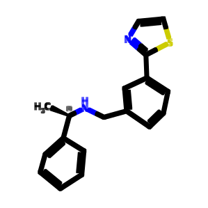 C[C@@H](NCc1cccc(-c2nccs2)c1)c1ccccc1